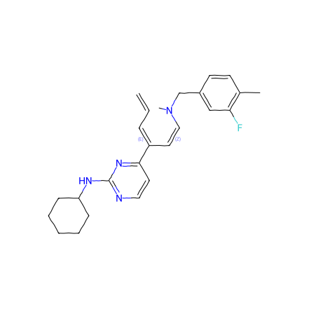 C=C/C=C(\C=C/N(C)Cc1ccc(C)c(F)c1)c1ccnc(NC2CCCCC2)n1